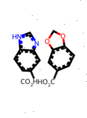 O=C(O)c1ccc2[nH]cnc2c1.O=C(O)c1ccc2c(c1)OCO2